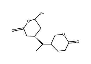 CC(C)C1C[C@@H](C(C)C2CCC(=O)OC2)CC(=O)O1